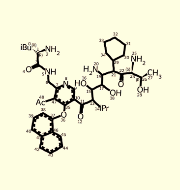 CC[C@@H](C)[C@@H](N)C(=O)NCc1ncc(C(=O)C(C(C)C)C(O)C(O)C(N)C(C(=O)[C@@H](N)[C@@H](C)O)C2CCCCC2)c(Oc2cccc3ccccc23)c1C(C)=O